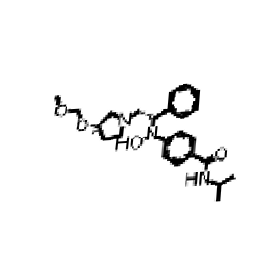 COCO[C@H]1CCN(C[C@H](c2ccccc2)N(O)c2ccc(C(=O)NC(C)C)cc2)C1